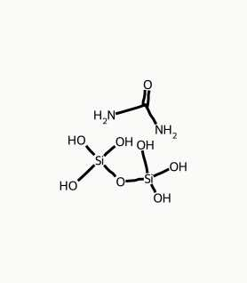 NC(N)=O.O[Si](O)(O)O[Si](O)(O)O